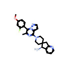 COc1ccc(-c2c(C)nc(N3CCC4(CC3)Cc3ncccc3[C@H]4N)c3ccnn23)c(F)c1